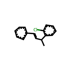 CC(/C=C/c1ccccc1)c1ccccc1Cl